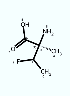 CC(F)[C@](C)(N)C(=O)O